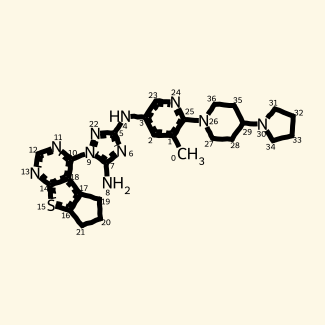 Cc1cc(Nc2nc(N)n(-c3ncnc4sc5c(c34)CCC5)n2)cnc1N1CCC(N2CCCC2)CC1